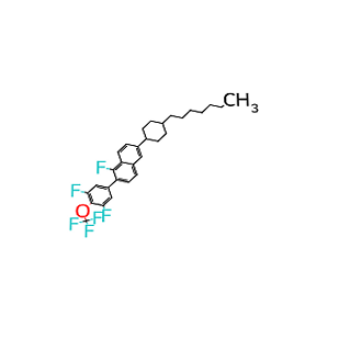 CCCCCCCC1CCC(c2ccc3c(F)c(-c4cc(F)c(OC(F)(F)F)c(F)c4)ccc3c2)CC1